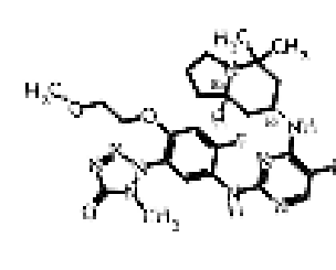 COCCOc1cc(F)c(Nc2ncc(F)c(N[C@@H]3C[C@@H]4CCCN4C(C)(C)C3)n2)cc1-n1nnc(=O)n1C